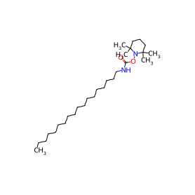 CCCCCCCCCCCCCCCCCCNC(=O)ON1C(C)(C)CCCC1(C)C